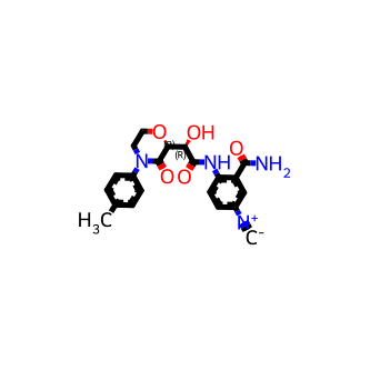 [C-]#[N+]c1ccc(NC(=O)[C@H](O)[C@H]2OCCN(c3ccc(C)cc3)C2=O)c(C(N)=O)c1